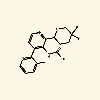 O=C(O)Nc1c(-c2ncccc2F)ccnc1C1CCC(F)(F)CO1